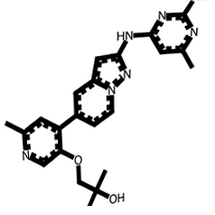 CNc1nc(C)cc(Nc2cc3cc(-c4cc(C)ncc4OCC(C)(C)O)ccn3n2)n1